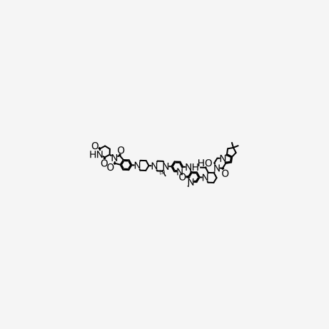 CC(O)C1C(N2CCn3c(cc4c3CC(C)(C)C4)C2=O)CCCN1c1cc(Nc2ccc(N3CCN(C4CCN(c5ccc6c(c5)C(=O)N(C5CCC(=O)NC5=O)C6=O)CC4)C[C@@H]3C)cn2)c(=O)n(C)c1